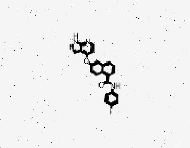 O=C(Nc1ccc(F)cc1)c1cccc2cc(Oc3ccnc4[nH]ncc34)ccc12